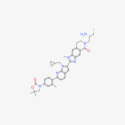 Cc1cc(N2CC(C)(C)OC2=O)ccc1-c1ccc2cc(-c3nc4cc5c(cc4n3C)CCN(C[C@H](N)CF)C5=O)n(CC3CC3)c2n1